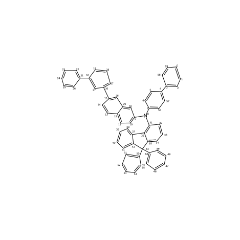 c1ccc(-c2ccc(N(c3ccc4ccc(-c5cccc(-c6ccccc6)c5)cc4c3)c3cccc4c3-c3ccccc3C4(c3ccccc3)c3ccccc3)cc2)cc1